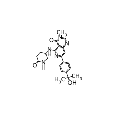 Cn1cnc2cc(-c3ccc(C(C)(C)O)cc3)nc(NC3CCC(=O)NC3)c2c1=O